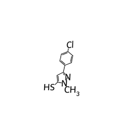 Cn1nc(-c2ccc(Cl)cc2)cc1S